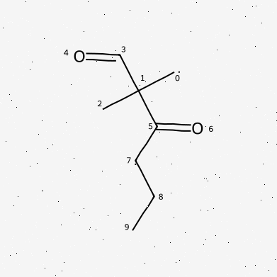 [CH2]C(C)(C=O)C(=O)[CH]CC